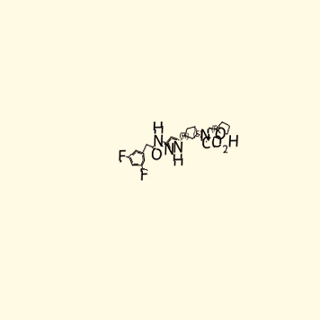 O=C(Cc1cc(F)cc(F)c1)Nc1cc([C@@H]2CC[C@H](N(C[C@H]3CCCO3)C(=O)O)C2)[nH]n1